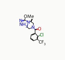 C=C1CN(C(=O)c2cccc(C(F)(F)F)c2Cl)CCN1/C(=N\N)OC